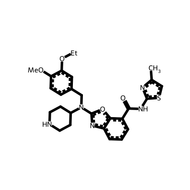 CCOc1cc(CN(c2nc3cccc(C(=O)Nc4nc(C)cs4)c3o2)C2CCNCC2)ccc1OC